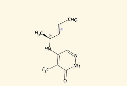 C[C@@H](/C=C/C=O)Nc1cn[nH]c(=O)c1C(F)(F)F